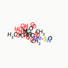 COc1cc([C@@H]2c3cc4c(cc3[C@@H](OC(OC3COC(C)O[C@@H]3C)C(O)O)[C@H]3COC(=O)[C@H]23)OCO4)cc(OC)c1OC(=O)NCCSSc1ccccn1